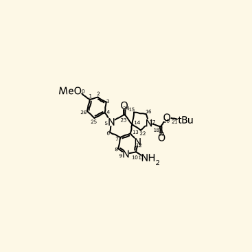 COc1ccc(N2Cc3cnc(N)nc3C3(CCN(C(=O)OC(C)(C)C)C3)C2=O)cc1